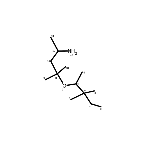 CCC(C)(C)C(C)OC(C)(C)CC(C)N